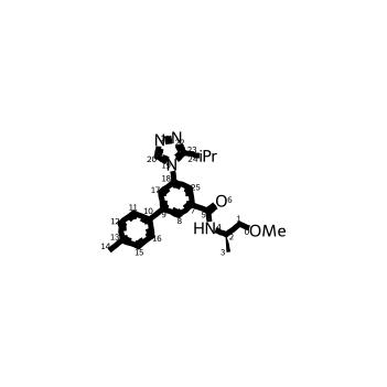 COC[C@@H](C)NC(=O)c1cc(-c2ccc(C)cc2)cc(-n2cnnc2C(C)C)c1